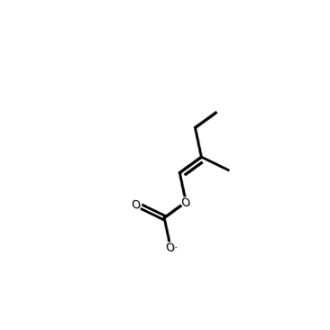 CC/C(C)=C/OC([O])=O